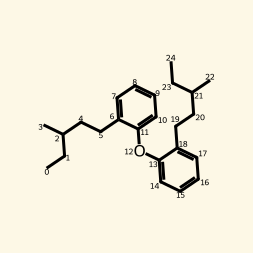 CCC(C)CCc1ccccc1Oc1ccccc1CCC(C)CC